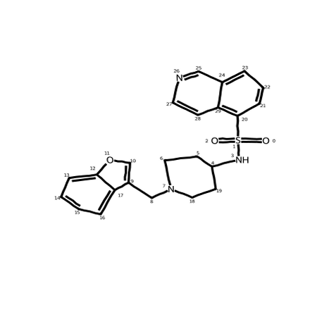 O=S(=O)(NC1CCN(Cc2coc3ccccc23)CC1)c1cccc2cnccc12